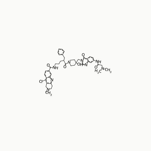 CN(C)CC(=O)Nc1ccc2c(=O)n(CC3(O)CCN(C(=O)C(CCCNC(=O)c4ccc5c(Cl)c6c(nc5c4)CCN(C)C6)Cc4ccccc4)CC3)cnc2c1